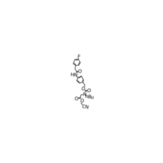 CCCCN(CC(=O)OCC#N)C(=O)OCc1ccc(NC(=O)Cc2ccc(F)cc2)cc1